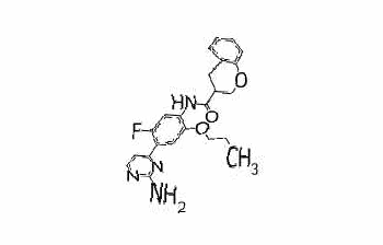 CCCOc1cc(-c2ccnc(N)n2)c(F)cc1NC(=O)C1COc2ccccc2C1